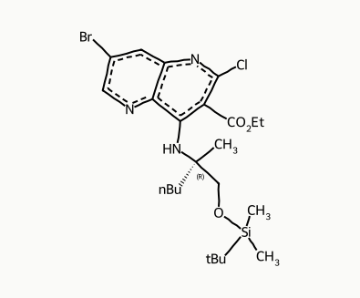 CCCC[C@](C)(CO[Si](C)(C)C(C)(C)C)Nc1c(C(=O)OCC)c(Cl)nc2cc(Br)cnc12